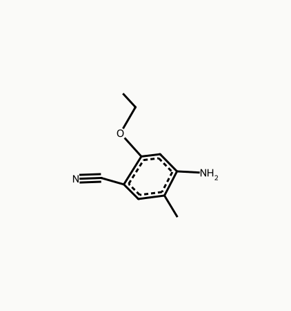 CCOc1cc(N)c(C)cc1C#N